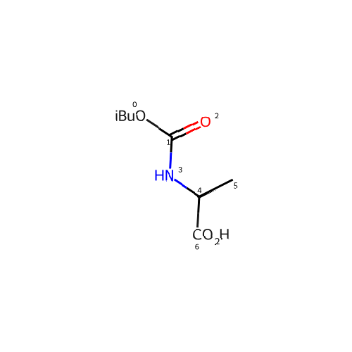 CC(C)COC(=O)NC(C)C(=O)O